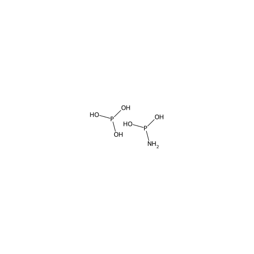 NP(O)O.OP(O)O